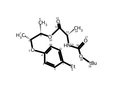 CCc1ccc(O[C@H](C)[C@H](C)OC(=O)[C@H](C)NC(=O)OC(C)(C)C)cc1